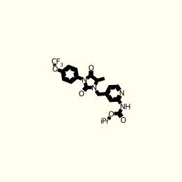 CC(C)OC(=O)Nc1cc(CN2C(=O)N(c3ccc(OC(F)(F)F)cc3)C(=O)C2C)ccn1